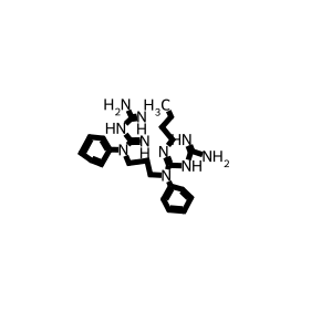 CCCCN=C(NC(=N)N)N(CCCN(C(=N)NC(=N)N)c1ccccc1)c1ccccc1